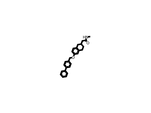 CNC(=O)CC1CCc2cc(OCc3ccc(-c4ccccc4)cc3)ccc2C1